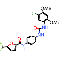 COc1cc(OC)c(NC(=O)Nc2ccc(NC(=O)c3ccc(C(F)F)o3)cc2)cc1Cl